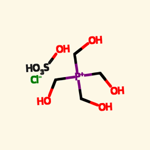 O=S(=O)(O)O.OC[P+](CO)(CO)CO.[Cl-]